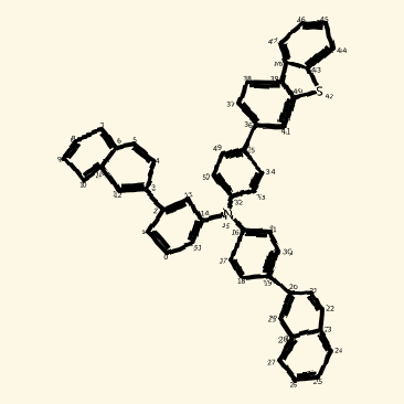 c1cc(-c2ccc3ccccc3c2)cc(N(c2ccc(-c3ccc4ccccc4c3)cc2)c2ccc(-c3ccc4c(c3)sc3ccccc34)cc2)c1